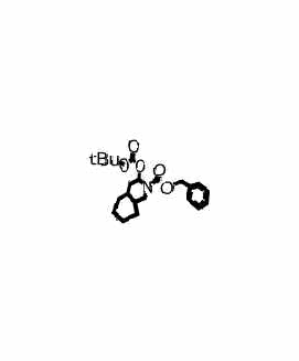 CC(C)(C)OC(=O)OC1CC2CCCCC2CN1C(=O)OCc1ccccc1